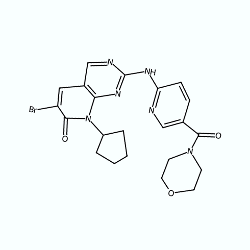 O=C(c1ccc(Nc2ncc3cc(Br)c(=O)n(C4CCCC4)c3n2)nc1)N1CCOCC1